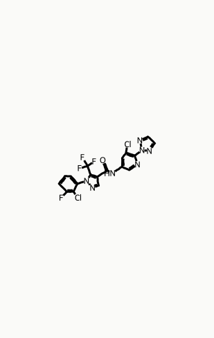 O=C(Nc1cnc(-n2nccn2)c(Cl)c1)c1cnn(-c2cccc(F)c2Cl)c1C(F)(F)F